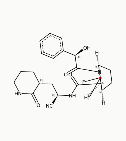 N#C[C@@H](C[C@H]1CCCNC1=O)NC(=O)[C@@H]1[C@@H]2CC[C@@H](CC2(F)F)N1C(=O)[C@H](O)c1ccccc1